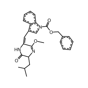 COC1=NC(CC(C)C)C(=O)NC1=Cc1cn(C(=O)OCc2ccccc2)c2ccccc12